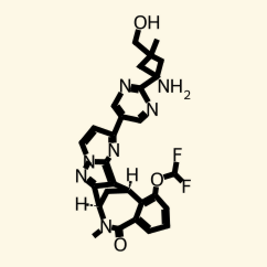 CN1C(=O)c2cccc(OC(F)F)c2[C@H]2C[C@@H]1c1nn3ccc(-c4cnc(C5(N)CC(C)(CO)C5)nc4)nc3c12